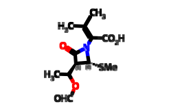 CS[C@@H]1[C@@H](C(C)OC=O)C(=O)N1C(C(=O)O)=C(C)C